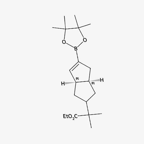 CCOC(=O)C(C)(C)C1C[C@@H]2CC(B3OC(C)(C)C(C)(C)O3)=C[C@@H]2C1